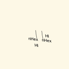 CCCCCCC.CCCCCCC.I.I